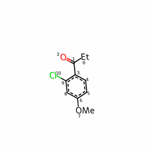 CCC(=O)c1ccc(OC)cc1Cl